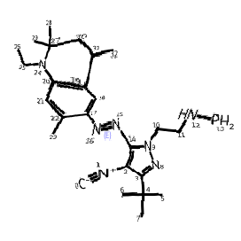 [C-]#[N+]c1c(C(C)(C)C)nn(CCNP)c1/N=N/c1cc2c(cc1C)N(CC)C(C)(C)CC2C